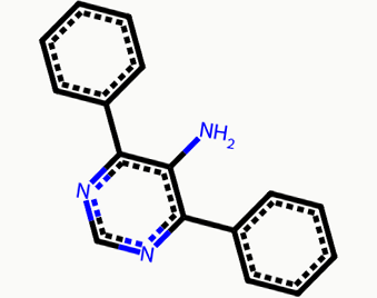 Nc1c(-c2ccccc2)ncnc1-c1ccccc1